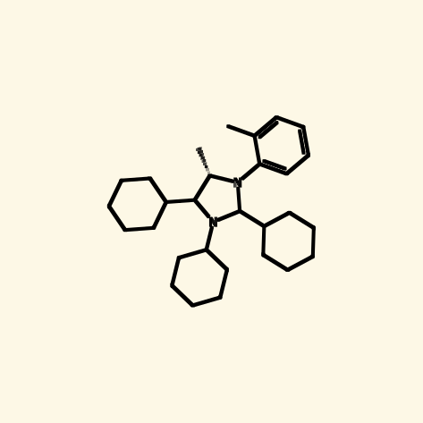 Cc1ccccc1N1C(C2CCCCC2)N(C2CCCCC2)C(C2CCCCC2)[C@@H]1C